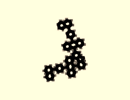 c1ccc2c(-c3ccc(-c4c5ccccc5c(-c5ccc6c(c5)oc5cccc(-c7c8ccccc8c(-c8ccc(-c9cccc%10ccccc9%10)cc8)c8ccccc78)c56)c5ccccc45)cc3)cccc2c1